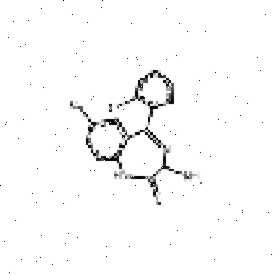 NC1N=C(c2ccccc2Cl)c2cc(Cl)ccc2NC1=O